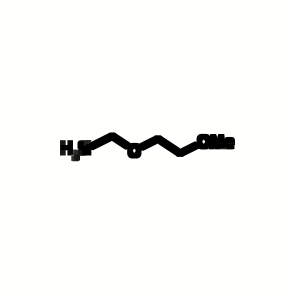 COCCOC[SiH3]